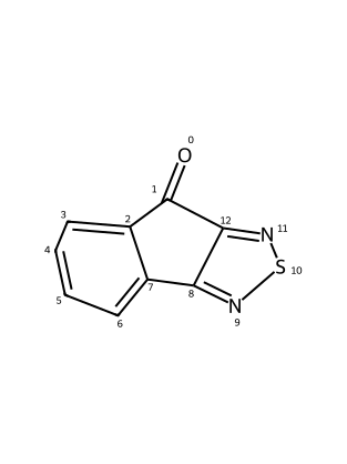 O=C1c2ccccc2-c2nsnc21